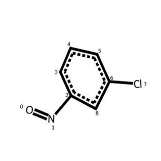 O=Nc1cccc(Cl)c1